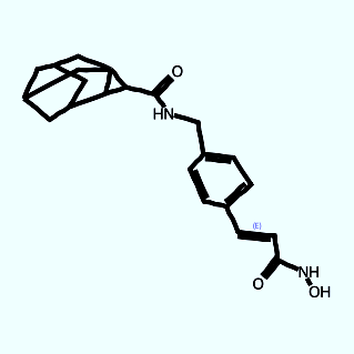 O=C(/C=C/c1ccc(CNC(=O)C2C3C4CC5CC(C4)CC23C5)cc1)NO